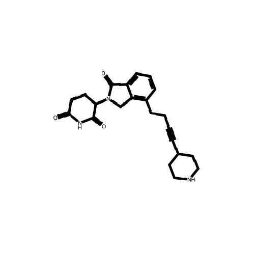 O=C1CCC(N2Cc3c(CCC#CC4CCNCC4)cccc3C2=O)C(=O)N1